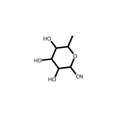 [CH2]C1OC(C#N)C(O)C(O)C1O